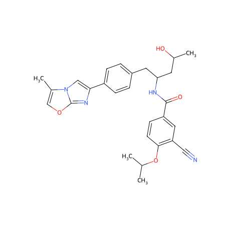 Cc1coc2nc(-c3ccc(CC(CC(C)O)NC(=O)c4ccc(OC(C)C)c(C#N)c4)cc3)cn12